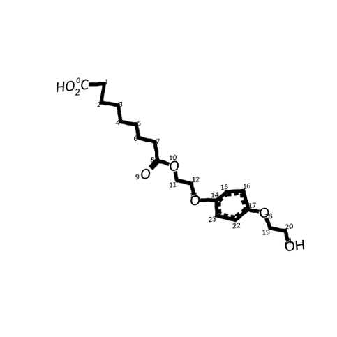 O=C(O)CCCCCCCC(=O)OCCOc1ccc(OCCO)cc1